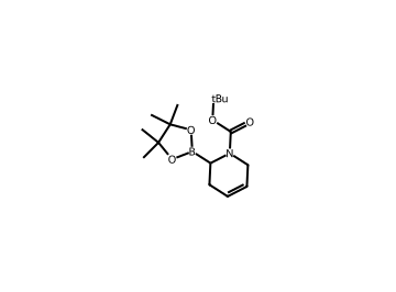 CC(C)(C)OC(=O)N1CC=CCC1B1OC(C)(C)C(C)(C)O1